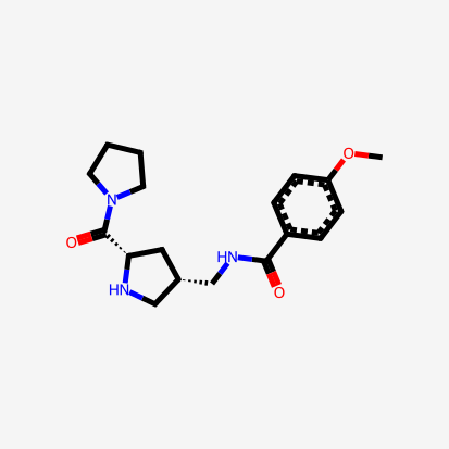 COc1ccc(C(=O)NC[C@@H]2CN[C@H](C(=O)N3CCCC3)C2)cc1